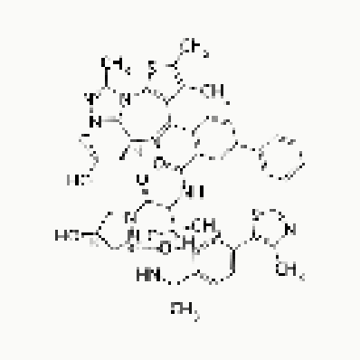 Cc1ncsc1-c1ccc(C(C)NC(=O)[C@@H]2C[C@@H](O)CN2C(=O)C(NC(=O)c2cc(-c3ccccc3)ccc2C2=N[C@@H](CC(=O)O)c3nnc(C)n3-c3sc(C)c(C)c32)C(C)(C)C)cc1